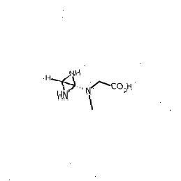 CN(CC(=O)O)[C@]12N[C@@H]1N2